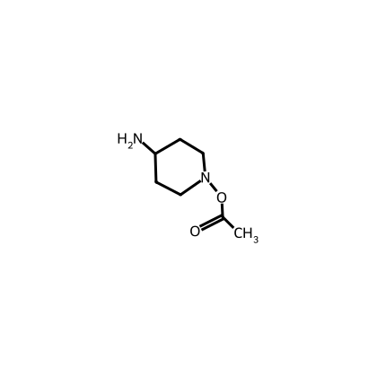 CC(=O)ON1CCC(N)CC1